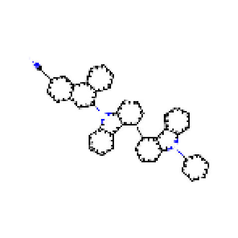 N#Cc1ccc2cc(-n3c4ccccc4c4c(-c5cccc6c5c5ccccc5n6-c5ccccc5)cccc43)c3ccccc3c2c1